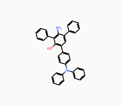 Nc1c(-c2ccccc2)cc(-c2ccc(N(c3ccccc3)c3ccccc3)cc2)c(O)c1-c1ccccc1